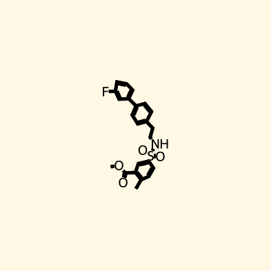 COC(=O)c1cc(S(=O)(=O)NCCc2ccc(-c3cccc(F)c3)cc2)ccc1C